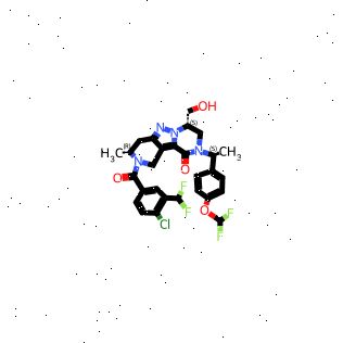 C[C@@H]1Cc2nn3c(c2CN1C(=O)c1ccc(Cl)c(C(F)F)c1)C(=O)N([C@@H](C)c1ccc(OC(F)F)cc1)C[C@H]3CO